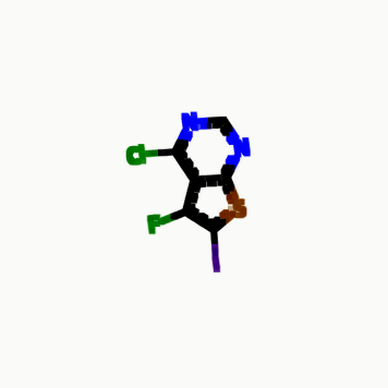 Fc1c(I)sc2ncnc(Cl)c12